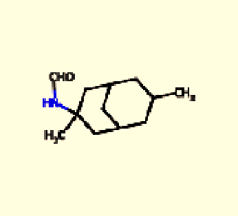 CC1CC2CC(C1)CC(C)(NC=O)C2